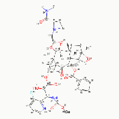 CC(=O)O[C@@]12CO[C@@H]1CC[C@@]1(C)[C@@H]3O[C@H](CN4CC[C@H]4C(=O)N(C)C)O[C@@H]3C3=C(C)[C@@H](OC(=O)[C@H](O)[C@@H](NC(=O)OC(C)(C)C)c4ncccc4F)C[C@@](O)([C@@H](OC(=O)c4ccccc4)[C@@H]12)C3(C)C